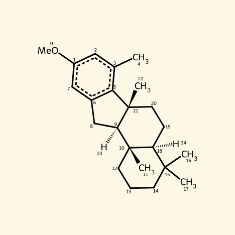 COc1cc(C)c2c(c1)C[C@@H]1[C@@]3(C)CCCC(C)(C)[C@@H]3CC[C@@]21C